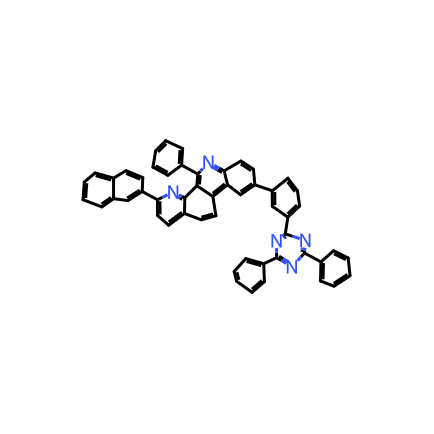 c1ccc(-c2nc(-c3ccccc3)nc(-c3cccc(-c4ccc5nc(-c6ccccc6)c6c(ccc7ccc(-c8ccc9ccccc9c8)nc76)c5c4)c3)n2)cc1